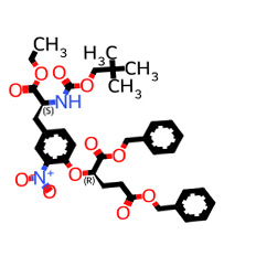 CCOC(=O)[C@H](Cc1ccc(O[C@H](CCC(=O)OCc2ccccc2)C(=O)OCc2ccccc2)c([N+](=O)[O-])c1)NC(=O)OCC(C)(C)C